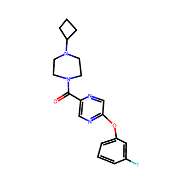 O=C(c1cnc(Oc2cccc(F)c2)cn1)N1CCN(C2CCC2)CC1